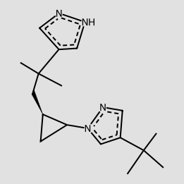 CC(C)(C)c1cnn(C2C[C@H]2CC(C)(C)c2cn[nH]c2)c1